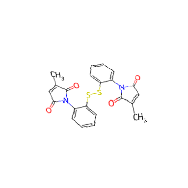 CC1=CC(=O)N(c2ccccc2SSc2ccccc2N2C(=O)C=C(C)C2=O)C1=O